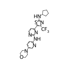 FC(F)(F)c1nc(NC2CCCC2)sc1-c1ccnc(Nc2ccc(N3CCOCC3)cn2)n1